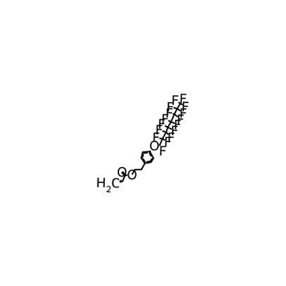 C=CC(=O)OCCc1ccc(OC(F)C(F)(F)C(F)(F)C(F)(F)C(F)(F)C(F)(F)C(F)(F)C(F)(F)F)cc1